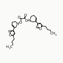 CCCCc1cc(C2=CCCN(OC(=O)C(=O)ON3CCC=C(c4cc(CCCC)on4)C3)C2)no1